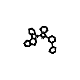 c1ccc(-c2cccc(-c3nc(-n4c5ccccc5c5c6ccccc6ccc54)n4ccccc34)c2)cc1